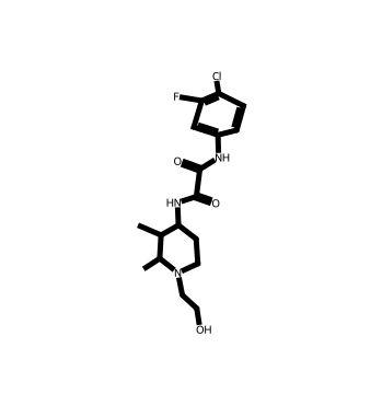 CC1C(NC(=O)C(=O)Nc2ccc(Cl)c(F)c2)CCN(CCO)C1C